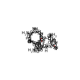 Cc1ccc(N(C(=O)OCC2(SSCC(=O)NCC[C@@H](NC(=O)CCCCCC(C)C)C(=O)N[C@H](C(=O)N[C@@H](CCN)C(=O)N[C@H]3CCNC(=O)[C@H]([C@@H](C)O)NC(=O)[C@H](CCN)NC(=O)[C@H](CCN)NC(=O)C(CC(C)C)NC(=O)[C@@H](CCc4ccccc4)NC(=O)[C@H](CCN)NC3=O)[C@@H](C)O)CCC2)c2nccc(N(C)c3ccc4c(C)n(C)nc4c3)n2)cc1S(N)(=O)=O